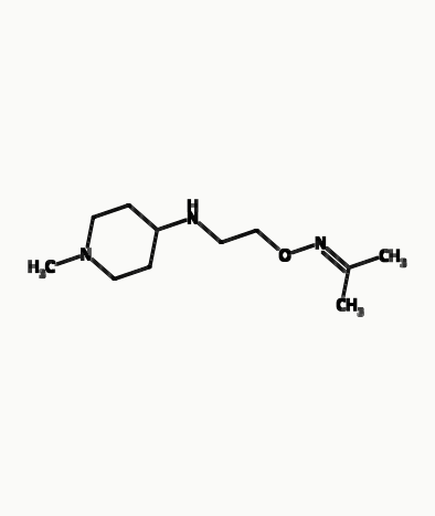 CC(C)=NOCCNC1CCN(C)CC1